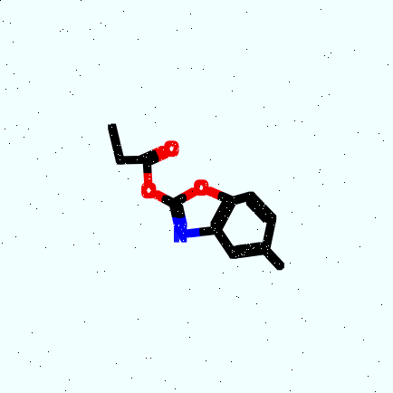 CCC(=O)Oc1nc2cc(C)ccc2o1